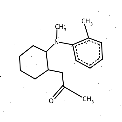 CC(=O)CC1CCCCC1N(C)c1ccccc1C